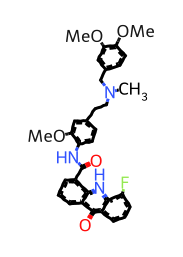 COc1cc(CCN(C)Cc2ccc(OC)c(OC)c2)ccc1NC(=O)c1cccc2c(=O)c3cccc(F)c3[nH]c12